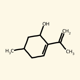 C=C(C)C1=CCC(C)CC1O